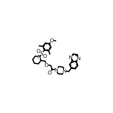 COc1cc(C)c(S(=O)(=O)N2CCCCC2COCC(=O)N2CCN(Cc3ccc4nccnc4c3)CC2)c(C)c1